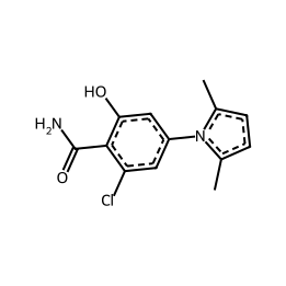 Cc1ccc(C)n1-c1cc(O)c(C(N)=O)c(Cl)c1